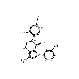 N#Cc1cccc(-n2nc(C(F)(F)F)c3c2C(=O)N(c2ccc(Br)cc2F)CC3)c1